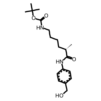 C[C@@H](CCCCNC(=O)OC(C)(C)C)C(=O)Nc1ccc(CO)cc1